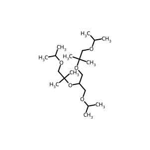 CC(C)OCC(COC(C)(C)COC(C)C)OC(C)(C)COC(C)C